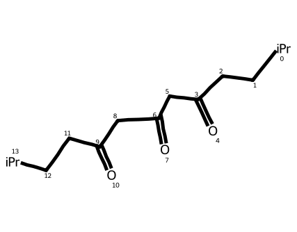 CC(C)CCC(=O)CC(=O)CC(=O)CCC(C)C